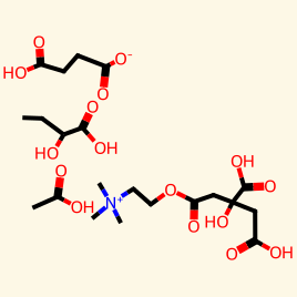 CC(=O)O.CCC(O)C(=O)O.C[N+](C)(C)CCOC(=O)CC(O)(CC(=O)O)C(=O)O.O=C([O-])CCC(=O)O